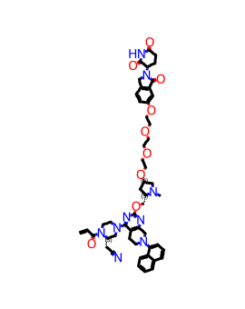 C=CC(=O)N1CCN(c2nc(OC[C@@H]3C[C@@H](OCCOCCOCCOc4ccc5c(c4)C(=O)N(C4CCC(=O)NC4=O)C5)CN3C)nc3c2CCN(c2cccc4ccccc24)C3)C[C@@H]1CC#N